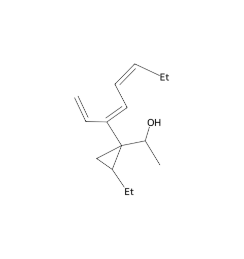 C=C/C(=C\C=C/CC)C1(C(C)O)CC1CC